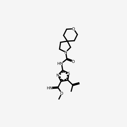 C=C(C)c1sc(NC(=O)N2CCC3(CCOCC3)C2)nc1C(=N)OC